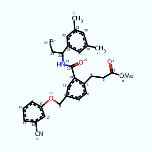 COC(=O)CCc1ccc(COc2cccc(C#N)c2)cc1C(=O)NC(CC(C)C)c1cc(C)cc(C)c1